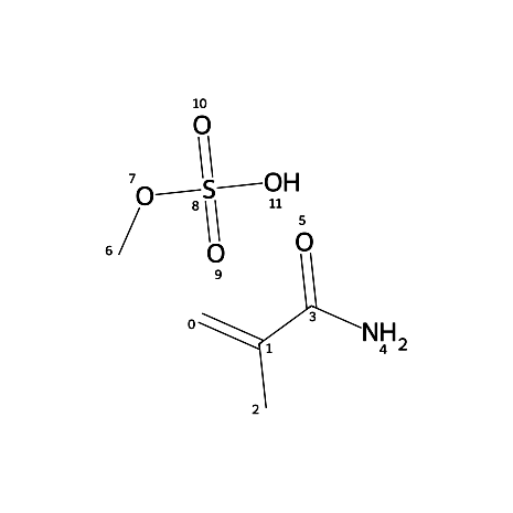 C=C(C)C(N)=O.COS(=O)(=O)O